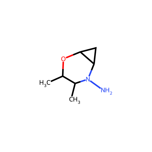 CC1OC2CC2N(N)C1C